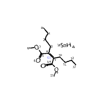 CCCC/C(C(=O)OC)=C(\CCCC)C(=O)OC.[SnH4]